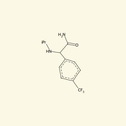 CC(C)NC(C(N)=O)c1ccc(C(F)(F)F)cc1